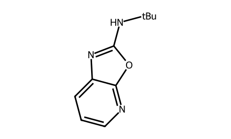 CC(C)(C)Nc1nc2cccnc2o1